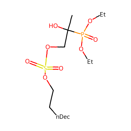 CCCCCCCCCCCCOS(=O)(=O)OCC(C)(O)P(=O)(OCC)OCC